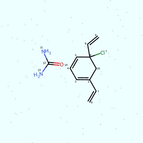 C=CC1=CC=CC(Cl)(C=C)C1.NC(N)=O